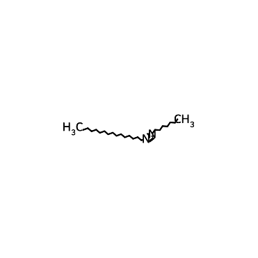 CCCCCCCCCCCCCCCC[n+]1ccn(CCCCCCC)c1